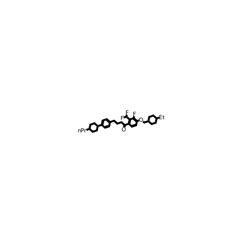 CCCC1CCC(c2ccc(CCCC(=O)c3ccc(OCC4CCC(CC)CC4)c(F)c3C(F)F)cc2)CC1